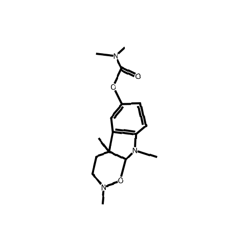 CN1CCC2(C)c3cc(OC(=O)N(C)C)ccc3N(C)C2O1